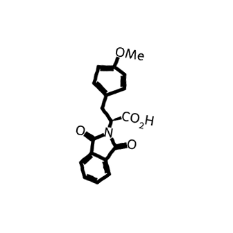 COc1ccc(C[C@@H](C(=O)O)N2C(=O)c3ccccc3C2=O)cc1